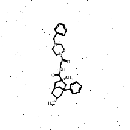 CC1CC2CC(C)(C(=O)NCC(=O)N3CCN(Cc4ccccc4)CC3)CC(c3ccccc3)(C1)C2